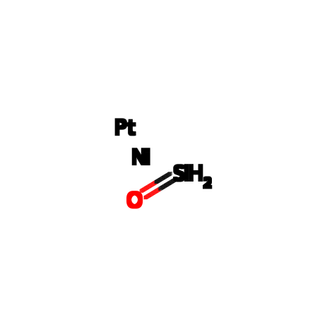 O=[SiH2].[Ni].[Pt]